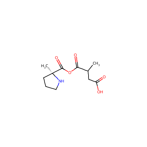 CC(CC(=O)O)C(=O)OC(=O)[C@]1(C)CCCN1